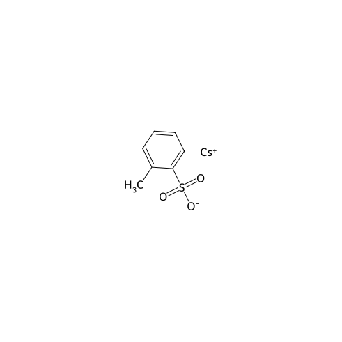 Cc1ccccc1S(=O)(=O)[O-].[Cs+]